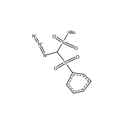 CCCCS(=O)(=O)C(N=[N+]=[N-])S(=O)(=O)c1ccccc1